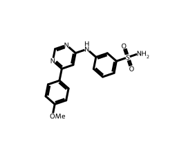 COc1ccc(-c2cc(Nc3cccc(S(N)(=O)=O)c3)ncn2)cc1